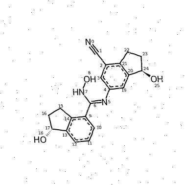 N#Cc1cc(/N=C(\NO)c2cccc3c2CC[C@H]3O)cc2c1CC[C@H]2O